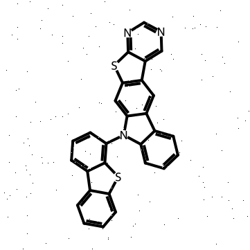 c1ccc2c(c1)sc1c(-n3c4ccccc4c4cc5c(cc43)sc3ncncc35)cccc12